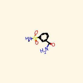 CNS(=O)(=O)c1cccc(C(N)=O)c1